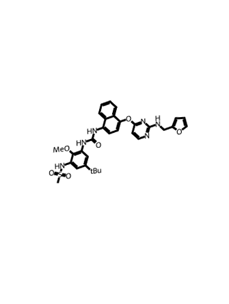 COc1c(NC(=O)Nc2ccc(Oc3ccnc(NCc4ccco4)n3)c3ccccc23)cc(C(C)(C)C)cc1NS(C)(=O)=O